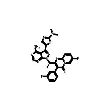 C[C@H](c1nc2ccc(F)cn2c(=O)c1-c1cccc(F)c1)n1nc(-c2cnc(N(C)C)s2)c2c(N)ncnc21